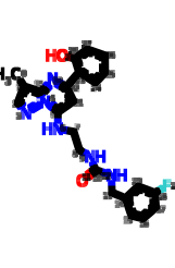 Cc1cnn2c(NCCNC(=O)NCc3cccc(F)c3)cc(-c3ccccc3O)nc12